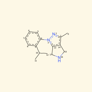 Cc1nn(-c2ccccc2C(C)C)c2c1CNC2